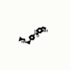 O=C(Nc1ccc([C@@H]2C[C@H]2NCC2CC2)cc1)c1ccc2cc[nH]c2c1